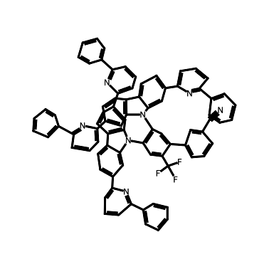 N#Cc1cccc(-c2cc(-n3c4cc(-c5cccc(-c6ccccc6)n5)ccc4c4ccc(-c5cccc(-c6ccccc6)n5)cc43)c(-n3c4cc(-c5cccc(-c6ccccc6)n5)ccc4c4ccc(-c5cccc(-c6ccccc6)n5)cc43)cc2C(F)(F)F)c1